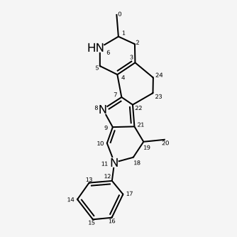 CC1CC2=C(CN1)C1=NC3=CN(c4ccccc4)CC(C)C3=C1CC2